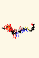 CCOP(=O)(O)OCC(C)(C)[C@@H](O)C(=O)NCCC(=O)NCCSCC1CCC(C(C)=O)C1